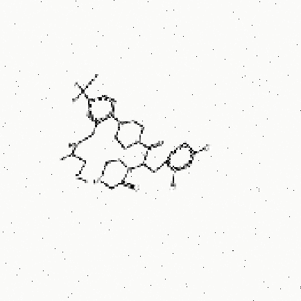 COCC(C)NCc1cc(C(F)(F)F)ccc1N1CCN(C(=O)C(Cc2ccc(Cl)cc2Cl)N2CCNCC2=O)CC1